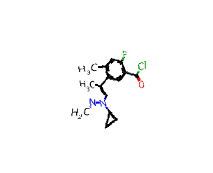 C=NN(/C=C(\C)c1cc(C(=O)Cl)c(F)cc1C)C1CC1